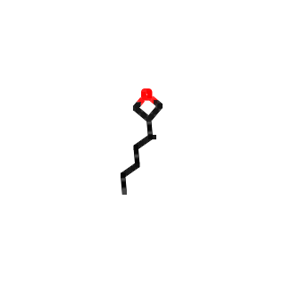 CCCC[CH]C1COC1